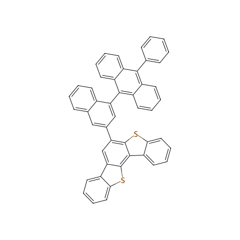 c1ccc(-c2c3ccccc3c(-c3cc(-c4cc5c6ccccc6sc5c5c4sc4ccccc45)cc4ccccc34)c3ccccc23)cc1